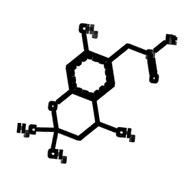 CC[Si](=O)Cc1cc2c(cc1C)OC(C)(C)CC2C